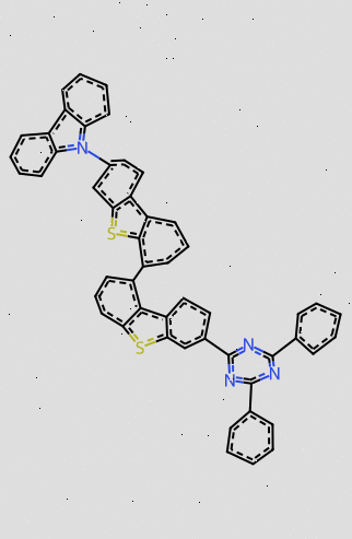 c1ccc(-c2nc(-c3ccccc3)nc(-c3ccc4c(c3)sc3cccc(-c5cccc6c5sc5cc(-n7c8ccccc8c8ccccc87)ccc56)c34)n2)cc1